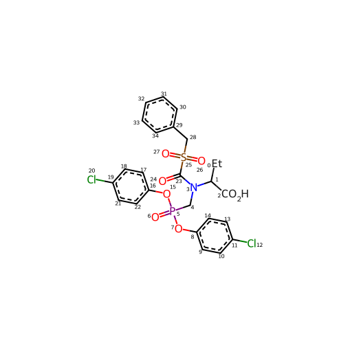 CCC(C(=O)O)N(CP(=O)(Oc1ccc(Cl)cc1)Oc1ccc(Cl)cc1)C(=O)S(=O)(=O)Cc1ccccc1